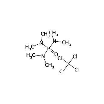 CN(C)P(=O)(N(C)C)N(C)C.ClC(Cl)(Cl)Cl